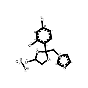 CCC1COC(Cn2ccnc2)(c2ccc(Cl)cc2Cl)O1.O=[N+]([O-])O